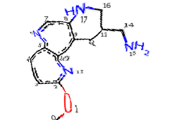 COc1ccc2ncc3c(c2n1)CC(CN)CN3